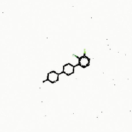 CC1CCC(C2CCC(c3cccc(F)c3Cl)CC2)CC1